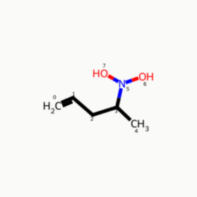 C=CCC(C)N(O)O